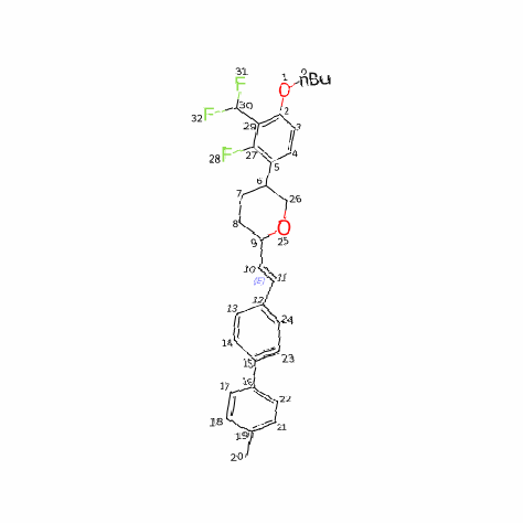 CCCCOc1ccc(C2CCC(/C=C/c3ccc(-c4ccc(C)cc4)cc3)OC2)c(F)c1C(F)F